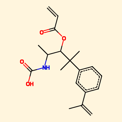 C=CC(=O)OC(C(C)NC(=O)O)C(C)(C)c1cccc(C(=C)C)c1